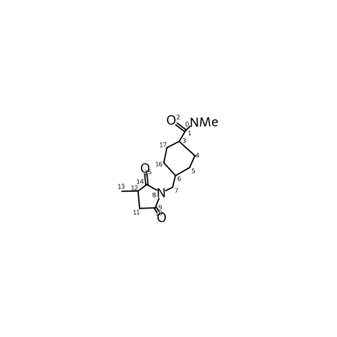 CNC(=O)C1CCC(CN2C(=O)CC(C)C2=O)CC1